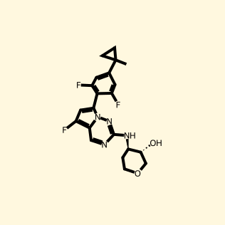 CC1(c2cc(F)c(-c3cc(F)c4cnc(N[C@@H]5CCOC[C@H]5O)nn34)c(F)c2)CC1